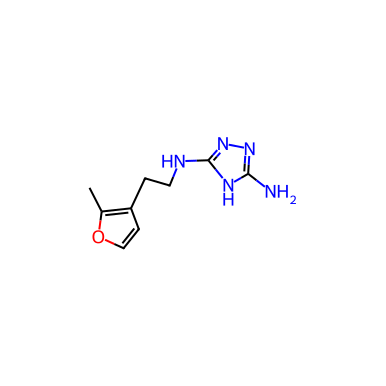 Cc1occc1CCNc1nnc(N)[nH]1